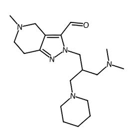 CN(C)CC(CN1CCCCC1)Cn1nc2c(c1C=O)CN(C)CC2